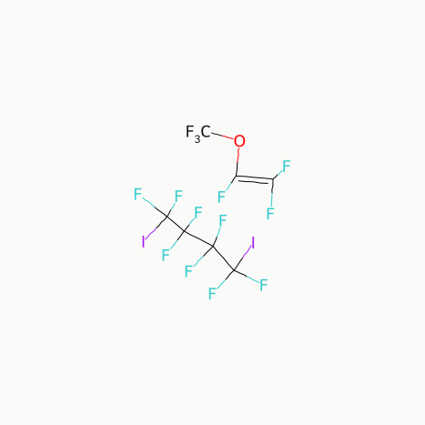 FC(F)(I)C(F)(F)C(F)(F)C(F)(F)I.FC(F)=C(F)OC(F)(F)F